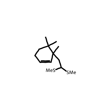 CSC(CC1(C)C=CCCC1(C)C)SC